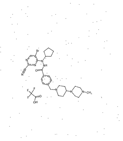 CN1CCN(C2CCN(Cc3ccc(C(=O)NN(c4nc(C#N)ncc4Br)C4CCCC4)cc3)CC2)CC1.O=C(O)C(F)(F)F